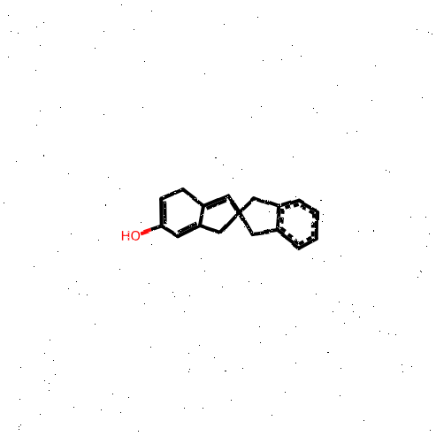 OC1=CCC2=CC3(CC2=C1)Cc1ccccc1C3